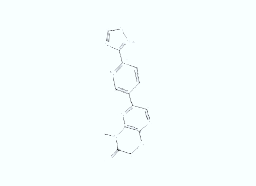 CN1C(=O)CNc2ncc(-c3ccc(-c4nc[nH]n4)nc3)nc21